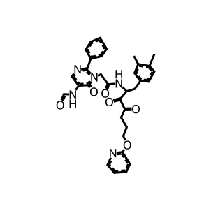 Cc1ccc(CC(NC(=O)Cn2c(-c3ccccc3)ncc(NC=O)c2=O)C(=O)C(=O)CCCOc2ccccn2)cc1C